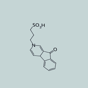 O=C1C2=CN(CCCS(=O)(=O)O)C=CC2c2ccccc21